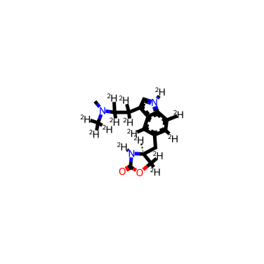 [2H]c1c(C[C@]2([2H])N([2H])C(=O)OC2([2H])[2H])c([2H])c2c(C([2H])([2H])C([2H])([2H])N(C)C([2H])([2H])[2H])cn([2H])c2c1[2H]